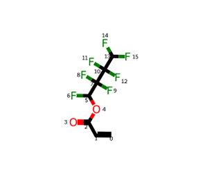 C=CC(=O)OC(F)C(F)(F)C(F)(F)C(F)F